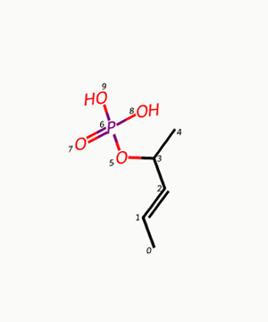 CC=CC(C)OP(=O)(O)O